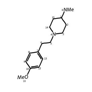 CNC1CCN(CCc2ccc(OC)cc2)CC1